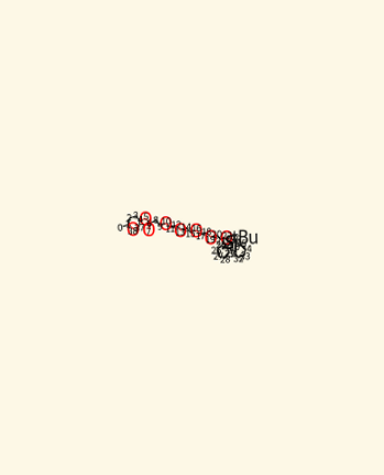 CC1CCC(OC(=O)CCOCCOCCOCCOCCO[Si](c2ccccc2)(c2ccccc2)C(C)(C)C)CO1